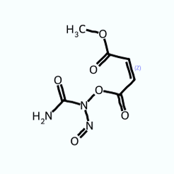 COC(=O)/C=C\C(=O)ON(N=O)C(N)=O